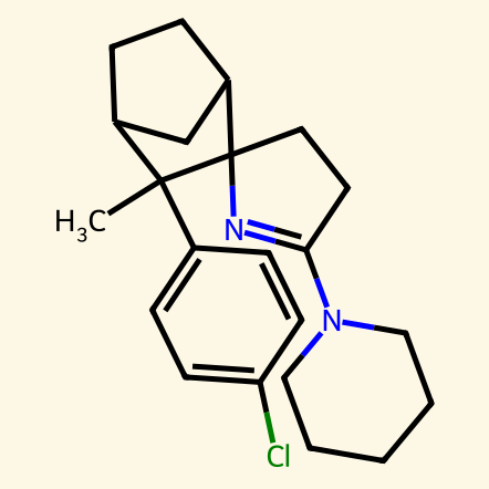 CC1(c2ccc(Cl)cc2)C2CCC(C2)C12CCC(N1CCCCC1)=N2